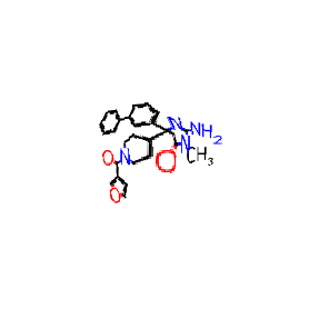 CN1C(=O)C(c2cccc(-c3ccccc3)c2)(C2CCN(C(=O)c3ccoc3)CC2)N=C1N